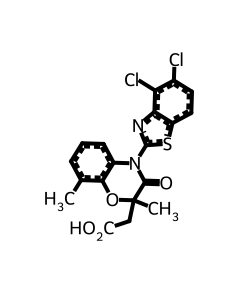 Cc1cccc2c1OC(C)(CC(=O)O)C(=O)N2c1nc2c(Cl)c(Cl)ccc2s1